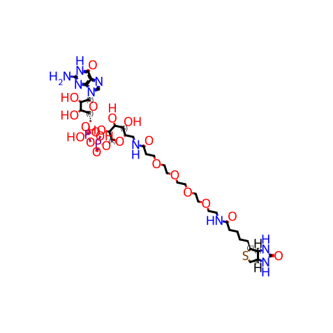 Nc1nc2c(ncn2[C@@H]2O[C@H](COP(=O)(O)OP(=O)(O)O[C@H]3OC(CNC(=O)CCOCCOCCOCCOCCNC(=O)CCCC[C@@H]4SC[C@@H]5NC(=O)N[C@@H]54)[C@@H](O)C(O)C3O)C(O)C2O)c(=O)[nH]1